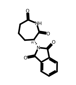 O=C1CCC[C@@H](N2C(=O)c3ccccc3C2=O)C(=O)N1